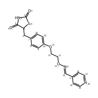 O=C1NC(=O)C(Cc2ccc(OCCON=Cc3ccncc3)cc2)S1